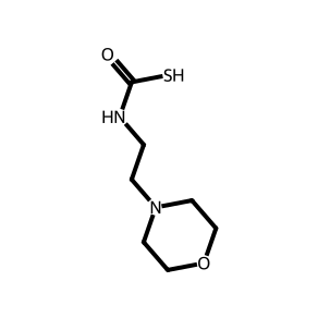 O=C(S)NCCN1CCOCC1